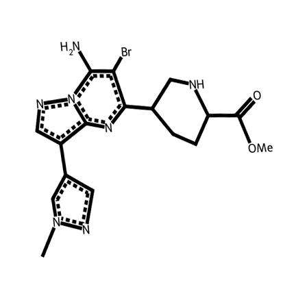 COC(=O)C1CCC(c2nc3c(-c4cnn(C)c4)cnn3c(N)c2Br)CN1